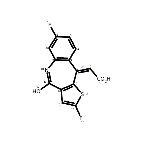 O=C(O)/C=C1/c2ccc(F)cc2N=C(O)c2cc(F)sc21